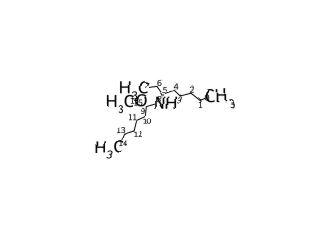 CCCCCC(CC)NC(CCCCC)OC